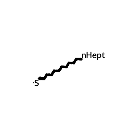 CCCCCCCCCCCCCCCCCC=C[S]